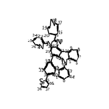 c1ccc(-n2c3ccccc3c3c4nc(-c5ccncc5)n(-c5ccccn5)c4cc(-c4ccc(-c5cccs5)cc4)c32)cc1